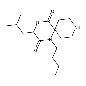 CCCCN1C(=O)C(CC(C)C)NC(=O)C12CCNCC2